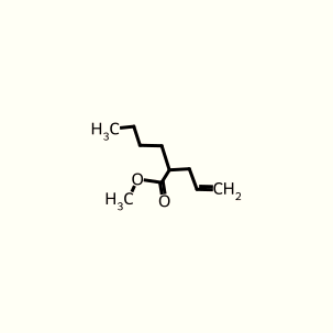 C=CCC(CCCC)C(=O)OC